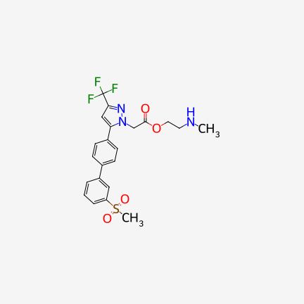 CNCCOC(=O)Cn1nc(C(F)(F)F)cc1-c1ccc(-c2cccc(S(C)(=O)=O)c2)cc1